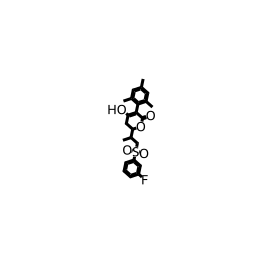 Cc1cc(C)c(C2=C(O)CC(C(C)CS(=O)(=O)c3cccc(F)c3)OC2=O)c(C)c1